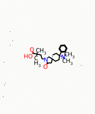 CN(C)[C@]1(c2ccccc2)CC[C@]2(CC1)CC(=O)N(CCC(C)(C)C(=O)O)C2